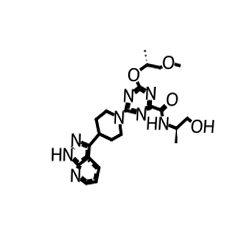 COC[C@@H](C)Oc1nc(C(=O)N[C@H](C)CO)nc(N2CCC(c3n[nH]c4ncccc34)CC2)n1